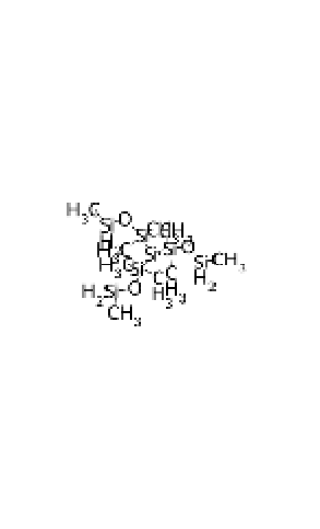 C[SiH2]O[Si](C)(C)[Si]([Si](C)(C)O[SiH2]C)[Si](C)(C)O[SiH2]C